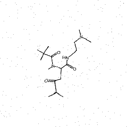 CC(C)C(=O)CC(C(=O)NCCN(C)C)N(C)C(=O)C(C)(C)C